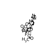 CC(=O)OC[C@H]1O[C@@H](n2ccc(-n3cncn3)nc2=O)[C@H](OC(C)=O)C1C(F)F